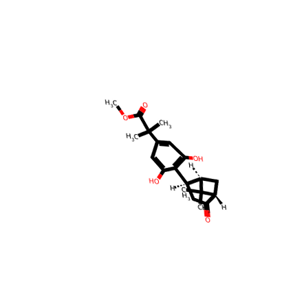 COC(=O)C(C)(C)c1cc(O)c([C@@H]2CC(=O)[C@H]3C[C@H]2C3(C)C)c(O)c1